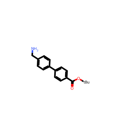 CC(C)(C)OC(=O)c1ccc(-c2ccc(CN)cc2)cc1